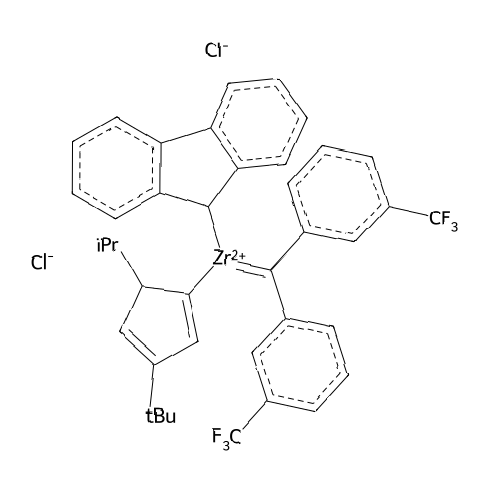 CC(C)C1C=C(C(C)(C)C)C=[C]1[Zr+2](=[C](c1cccc(C(F)(F)F)c1)c1cccc(C(F)(F)F)c1)[CH]1c2ccccc2-c2ccccc21.[Cl-].[Cl-]